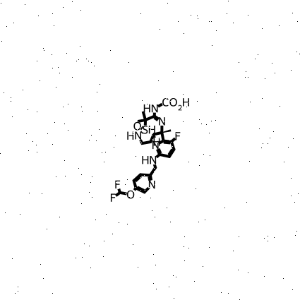 CC1(C)C(NC(=O)O)=N[C@](C)(c2nc(NCc3ccc(OC(F)F)cn3)ccc2F)[C@@H]2CCN[SH]21=O